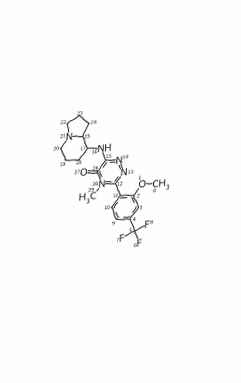 COc1cc(C(F)(F)F)ccc1-c1nnc(NC2CCCN3CCCC23)c(=O)n1C